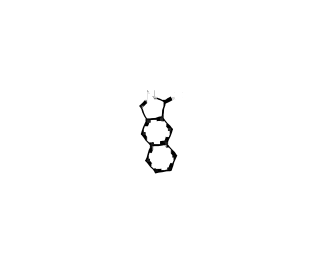 O=C1N=Cc2cc3ccccc3cc21